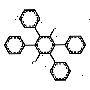 [O]c1c(-c2ccccc2)c(-c2ccccc2)c(Cl)c(-c2ccccc2)c1-c1ccccc1